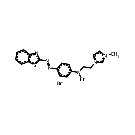 CCN(CCn1cc[n+](C)c1)c1ccc(N=Nc2nc3ccccc3s2)cc1.[Br-]